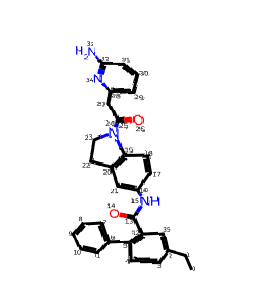 CCc1ccc(-c2ccccc2)c(C(=O)Nc2ccc3c(c2)CCN3C(=O)Cc2cccc(N)n2)c1